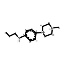 CCCNc1ccc(N2CCN(C)CC2)cc1